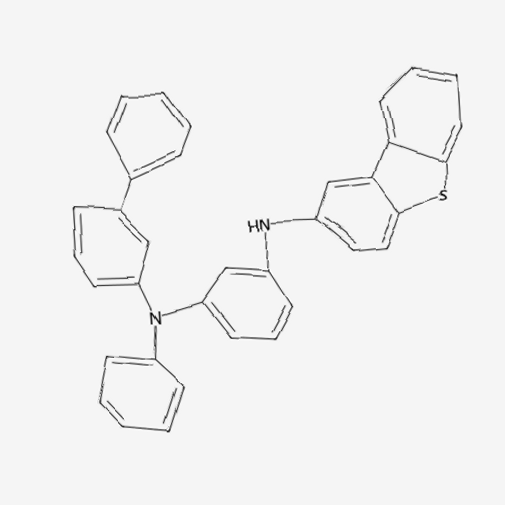 c1ccc(-c2cccc(N(c3ccccc3)c3cccc(Nc4ccc5sc6ccccc6c5c4)c3)c2)cc1